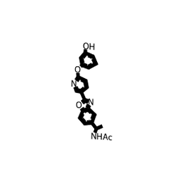 CC(=O)NC(C)c1ccc2oc(-c3ccc(Oc4cccc(O)c4)nc3)nc2c1